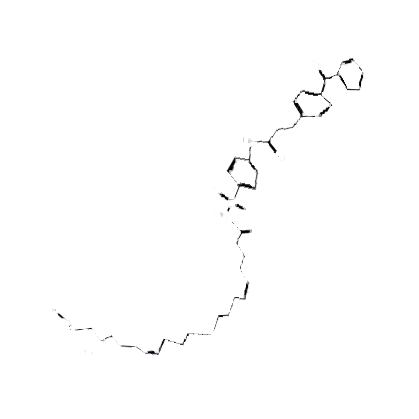 [N-]=[N+]=NC[C@@H](O)CCC/C=C\CCCCCCC/C=C\CCCC(=O)NS(=O)(=O)c1ccc(NC(=O)CCc2ccc(C(=O)c3ccccc3)cc2)cc1